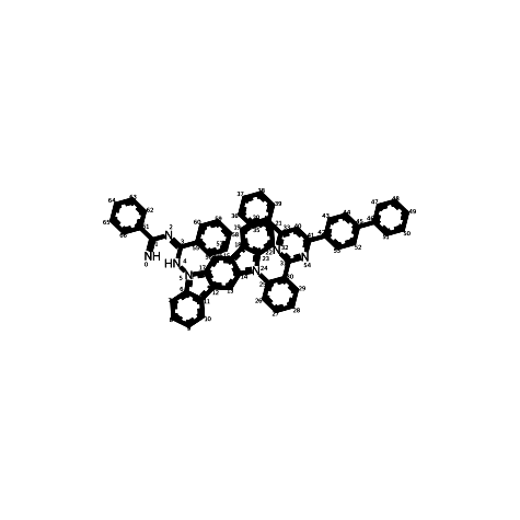 N=C(/N=C(\Nn1c2ccccc2c2cc3c(cc21)c1ccccc1n3-c1ccccc1-c1nc(-c2ccccc2)cc(-c2ccc(-c3ccccc3)cc2)n1)c1ccccc1)c1ccccc1